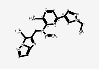 C=NN(CC1=Nc2ccnn2C1C)c1nc(-c2cnn(CC(F)(F)F)c2)cnc1N